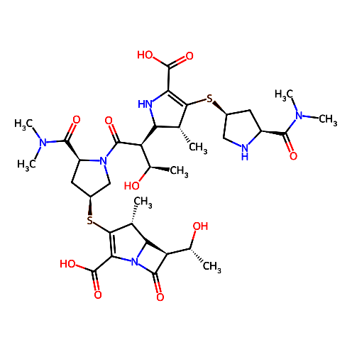 C[C@H]1C(S[C@@H]2CN[C@H](C(=O)N(C)C)C2)=C(C(=O)O)NC1[C@H](C(=O)N1C[C@@H](SC2=C(C(=O)O)N3C(=O)[C@H]([C@@H](C)O)C3[C@H]2C)C[C@H]1C(=O)N(C)C)[C@@H](C)O